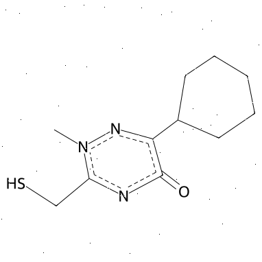 Cn1nc(C2CCCCC2)c(=O)nc1CS